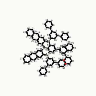 c1ccc(-c2cc(-c3ccccc3)cc(N3c4cc5cc6ccccc6cc5cc4B4c5cc6cc7ccccc7cc6cc5N(c5cc(-c6ccccc6)cc(-c6ccccc6)c5)c5cc(-c6nc(-c7ccccc7)c7ccccc7n6)cc3c54)c2)cc1